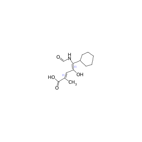 C/C(=C\C(O)=C(/NC=O)C1CCCCC1)C(=O)O